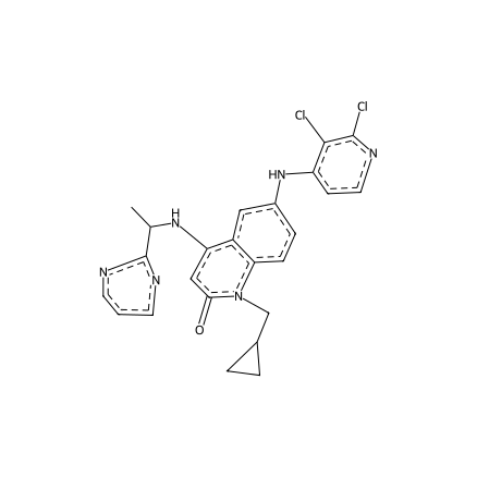 CC(Nc1cc(=O)n(CC2CC2)c2ccc(Nc3ccnc(Cl)c3Cl)cc12)c1ncccn1